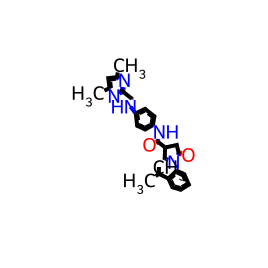 Cc1cc(C)nc(CNc2ccc(NC(=O)C3CC(=O)N(c4ccccc4C(C)C)C3)cc2)n1